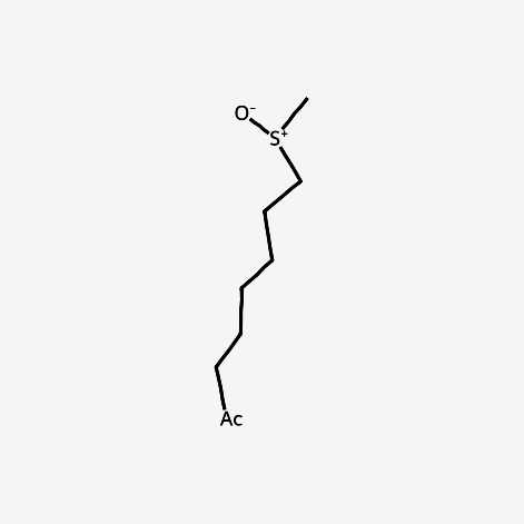 CC(=O)CCCCCC[S+](C)[O-]